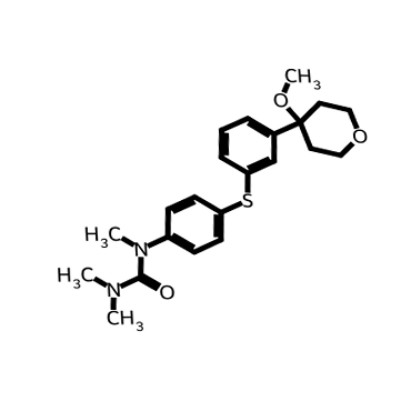 COC1(c2cccc(Sc3ccc(N(C)C(=O)N(C)C)cc3)c2)CCOCC1